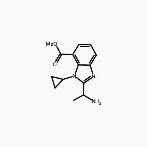 COC(=O)c1cccc2nc(C(C)N)n(C3CC3)c12